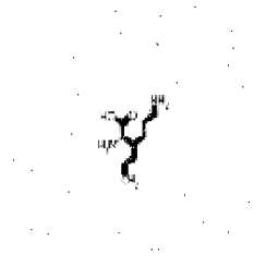 C=CCC(CCCN)[C@H](N)C(=O)O